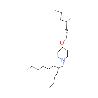 CCCCCCC(CCCC)CN1CCC(OCC#CC(C)CCC)CC1